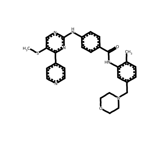 CSc1cnc(Nc2ccc(C(=O)Nc3cc(CN4CCOCC4)ccc3C)cc2)nc1-c1ccncc1